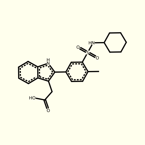 Cc1ccc(-c2[nH]c3ccccc3c2CC(=O)O)cc1S(=O)(=O)NC1CCCCC1